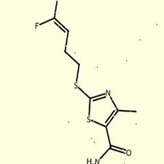 Cc1nc(SCCC=C(F)F)sc1C(N)=O